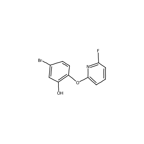 Oc1cc(Br)ccc1Oc1cccc(F)n1